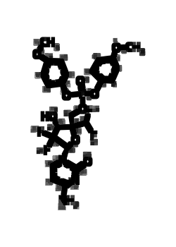 COc1ccc(OP(=O)(OC[C@@]2(C(F)F)O[C@@H](n3ccc(N)nc3=O)C(F)(F)[C@H]2O)Oc2ccc(OC)cc2)cc1